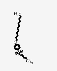 CCCCCCCCCCCCOc1ccc(S(=O)(=O)[N]CCCC)cc1